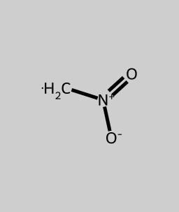 [CH2][N+](=O)[O-]